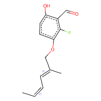 C/C=C\C=C(/C)COc1ccc(O)c(C=O)c1F